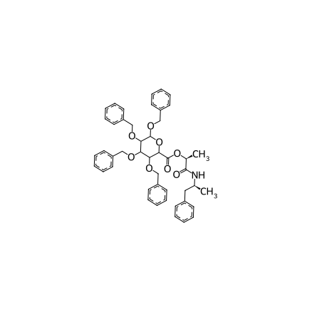 C[C@H](OC(=O)C1OC(OCc2ccccc2)C(OCc2ccccc2)C(OCc2ccccc2)C1OCc1ccccc1)C(=O)N[C@@H](C)Cc1ccccc1